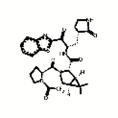 CC1(C)[C@@H]2[C@@H](C(=O)N[C@@H](C[C@@H]3CCNC3=O)C(=O)c3nc4ccccc4s3)N(C(=O)[C@@H]3CCCN3C(=O)C(F)(F)F)C[C@@H]21